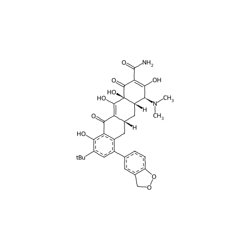 CN(C)[C@@H]1C(O)=C(C(N)=O)C(=O)[C@@]2(O)C(O)=C3C(=O)c4c(O)c(C(C)(C)C)cc(-c5ccc6c(c5)COO6)c4C[C@H]3C[C@@H]12